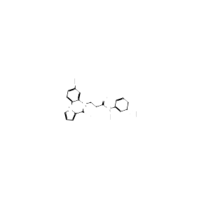 C[C@H]1C=C(NC(=O)CCn2c(=O)c3cccn3c3ccc(F)cc32)C=CC1